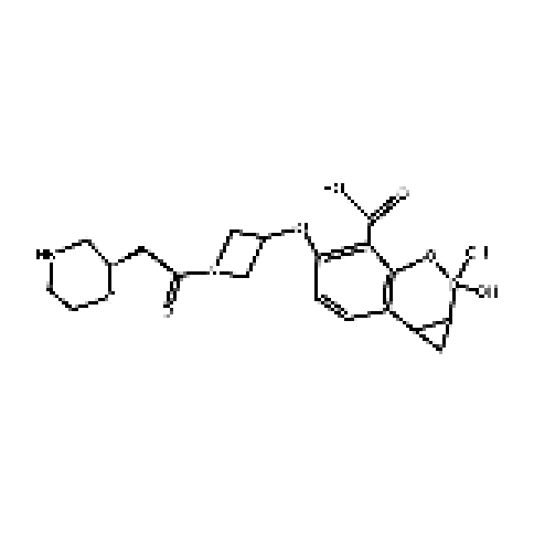 O=C(O)c1c(OC2CN(C(=O)C[C@@H]3CNCCO3)C2)ccc2c1O[B-](O)(O)C1CC21